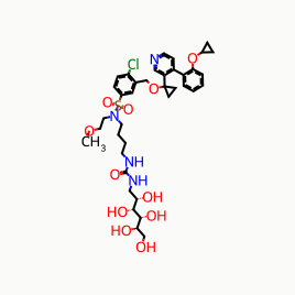 COCCN(CCCCNC(=O)NC[C@H](O)[C@@H](O)[C@H](O)[C@H](O)CO)S(=O)(=O)c1ccc(Cl)c(COC2(c3cnccc3-c3ccccc3OC3CC3)CC2)c1